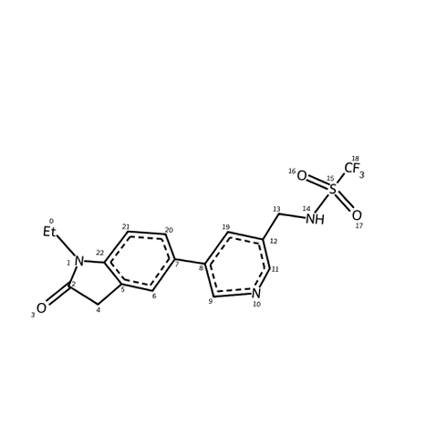 CCN1C(=O)Cc2cc(-c3cncc(CNS(=O)(=O)C(F)(F)F)c3)ccc21